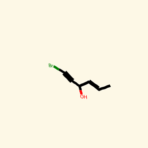 CC=CC(O)C#CBr